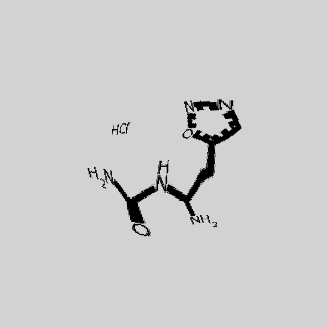 Cl.NC(=O)NC(N)Cc1cnno1